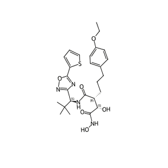 CCOc1ccc(CCC[C@@H](C(=O)N[C@H](c2noc(-c3cccs3)n2)C(C)(C)C)[C@H](O)C(=O)NO)cc1